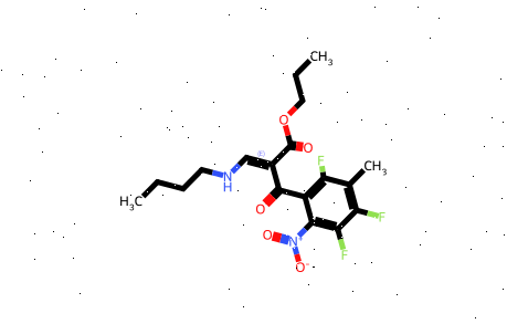 CCCCN/C=C(/C(=O)OCCC)C(=O)c1c(F)c(C)c(F)c(F)c1[N+](=O)[O-]